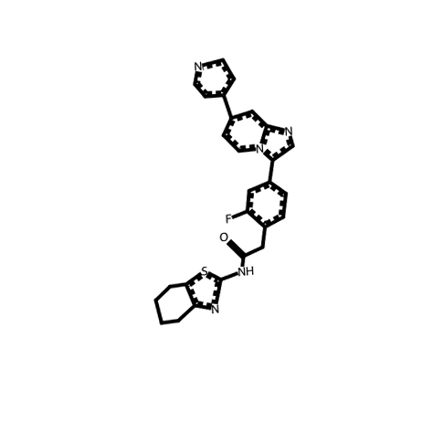 O=C(Cc1ccc(-c2cnc3cc(-c4ccncc4)ccn23)cc1F)Nc1nc2c(s1)CCCC2